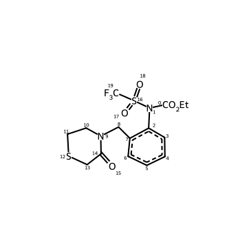 CCOC(=O)N(c1ccccc1CN1CCSCC1=O)S(=O)(=O)C(F)(F)F